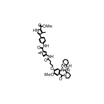 COC(=O)c1[nH]cc(-c2ccc(NC(=O)c3cc(NC(=O)CCCOc4cc5c(cc4OC)C(=O)N4CCCC[C@H]4C(OC4CCCCO4)N5C(=O)O)cn3C)cc2)c1C